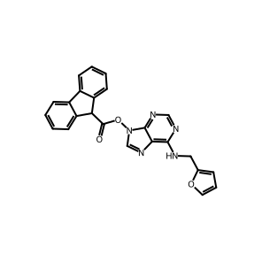 O=C(On1cnc2c(NCc3ccco3)ncnc21)C1c2ccccc2-c2ccccc21